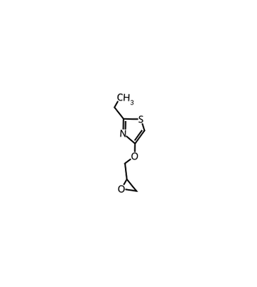 CCc1nc(OCC2CO2)cs1